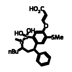 CCCCC1CC(c2ccccc2)c2cc(SC)c(O/C=C/C(=O)O)cc2S(O)(O)N1C